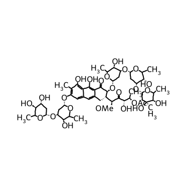 CO[C@H](C(=O)[C@@H](O)[C@@H](C)OC(C)=O)[C@@H]1Cc2cc3cc(O[C@H]4C[C@@H](O[C@H]5C[C@@H](O)[C@H](O)C(C)O5)[C@H](O)C(C)O4)c(C)c(O)c3c(O)c2C(=O)[C@H]1O[C@H]1C[C@@H](O[C@H]2C[C@@H](O[C@H]3C[C@](C)(O)[C@H](O)C(C)O3)[C@@H](O)C(C)O2)[C@H](O)C(C)O1